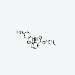 CCOC(=O)c1ccccc1Nc1ccc(O)cc1C